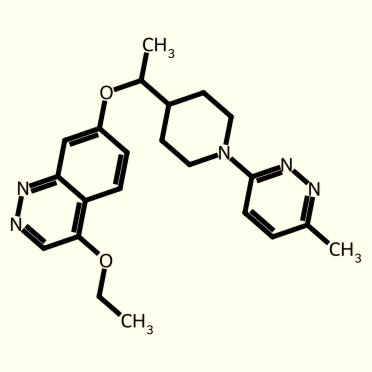 CCOc1cnnc2cc(OC(C)C3CCN(c4ccc(C)nn4)CC3)ccc12